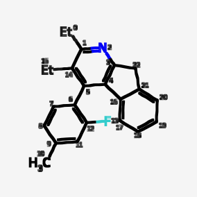 CCc1nc2c(c(-c3ccc(C)cc3F)c1CC)-c1ccccc1C2